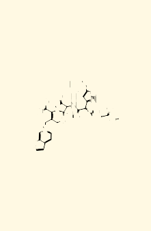 COC(=O)CO/N=C(/C(=O)NC1C(=O)N2C(C(=O)[O-])=C(C[n+]3ccc4ccsc4c3)CS[C@H]12)c1cc(N)on1